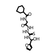 O=C(CNC(=O)C1CCCCC1)NNC(=S)NC(O)c1ccco1